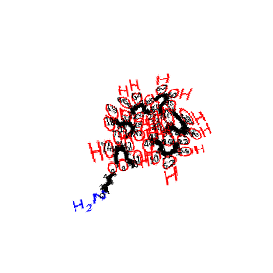 NCCCCCOC1OC(CO)C(OC2OC(C(=O)O)C(OC3OC(CO)C(OC4OC(CO)C(OC5OC(CO)C(OC6OC(C(=O)O)C(O)C(O)C6O)C(O)C5O)C(O)C4O)C(O)C3O)C(O)C2O)C(O)C1O